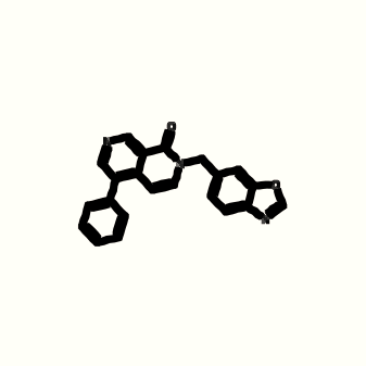 O=c1c2cncc(-c3ccccc3)c2ccn1Cc1ccc2ncoc2c1